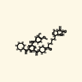 COc1ccc(Nc2nc(NC3CCCCCC3)nc(NC3CCN(C(=O)CCCCC4SCC5NC(=O)NC54)CC3)n2)cc1C